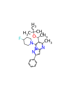 Cc1nc2cc(-c3ccccc3)nn2c(N2CCC(F)CC2)c1C(C)OC(C)(C)C